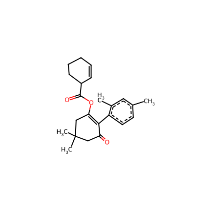 Cc1ccc(C2=C(OC(=O)C3C=CCCC3)CC(C)(C)CC2=O)c(C)c1